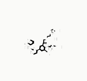 COc1ncccc1Nc1nccc(-c2cc(C#N)c3c(c2)C(C)(COCCOS(C)(=O)=O)CN3C(=O)OC(C)(C)C)n1